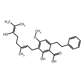 COc1cc(CCc2ccccc2)c(C(=O)O)c(O)c1C/C=C(\C)CCC(O)=C(C)C